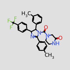 Cc1ccc(C2=NC(c3ccc(C(F)(F)F)cc3)C(c3cccc(C)c3)N2C(=O)N2CCNC(=O)C2)cc1